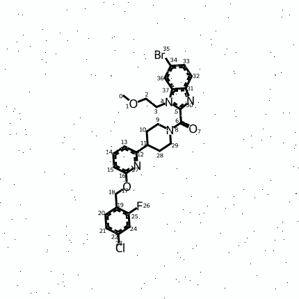 COCCn1c(C(=O)N2CCC(c3cccc(OCc4ccc(Cl)cc4F)n3)CC2)nc2ccc(Br)cc21